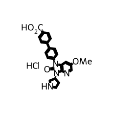 COc1cnc2c(c1)n(-c1ccc(-c3ccc(C(=O)O)cc3)cc1)c(=O)n2[C@H]1CCNC1.Cl